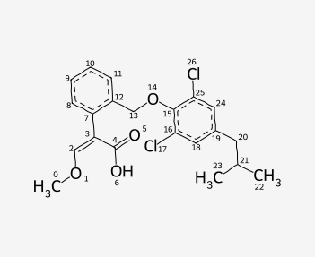 COC=C(C(=O)O)c1ccccc1COc1c(Cl)cc(CC(C)C)cc1Cl